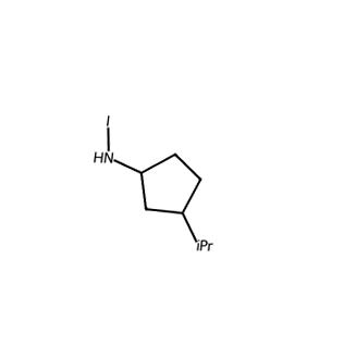 CC(C)C1CCC(NI)C1